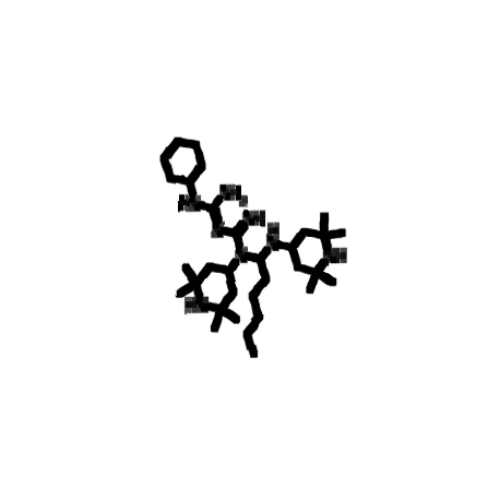 CCCCCC(NC1CC(C)(C)NC(C)(C)C1)N(C(=N)/N=C(\N)NC1CCCCC1)C1CC(C)(C)NC(C)(C)C1